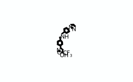 OC1(C(F)(F)F)CC(c2ccc(CNCc3ccc(-n4cccn4)cc3)cc2)=NO1